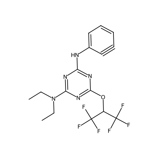 CCN(CC)c1nc(Nc2c#cccc2)nc(OC(C(F)(F)F)C(F)(F)F)n1